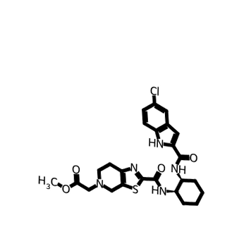 COC(=O)CN1CCc2nc(C(=O)N[C@@H]3CCCC[C@@H]3NC(=O)c3cc4cc(Cl)ccc4[nH]3)sc2C1